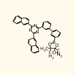 CC1(C)OB(c2cccc(-c3cccc(-c4nc(-c5ccc6ccccc6c5)nc(-c5ccc6ccccc6c5)n4)c3)c2)OC1(C)C